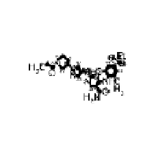 C=CC(=O)N1CCC[C@@H](n2cc(Nc3ncc(C(N)=O)c(Nc4c(C)cc(S(=O)(=O)CC)cc4OC)n3)cn2)C1